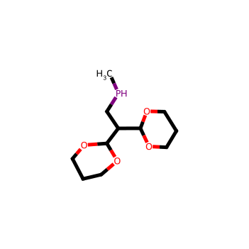 CPCC(C1OCCCO1)C1OCCCO1